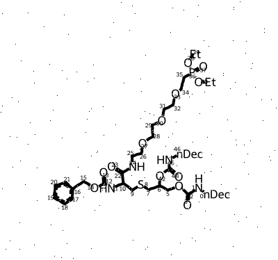 CCCCCCCCCCNC(=O)OCC(CSCC(NC(=O)OCc1ccccc1)C(=O)NCCOCCOCCOCCP(=O)(OCC)OCC)OC(=O)NCCCCCCCCCC